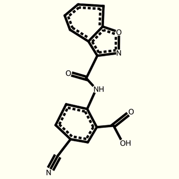 N#Cc1ccc(NC(=O)c2noc3ccccc23)c(C(=O)O)c1